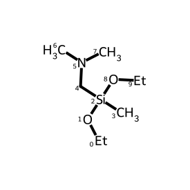 CCO[Si](C)(CN(C)C)OCC